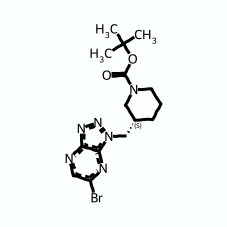 CC(C)(C)OC(=O)N1CCC[C@H](Cn2nnc3ncc(Br)nc32)C1